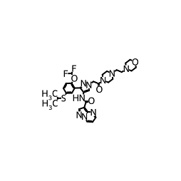 CC(C)Sc1ccc(OC(F)F)c(-c2nn(CC(=O)N3CCN(CCN4CCOCC4)CC3)cc2NC(=O)c2cnn3cccnc23)c1